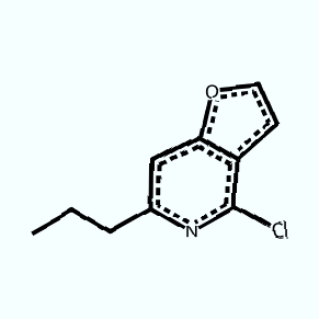 CCCc1cc2occc2c(Cl)n1